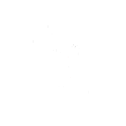 C=C[SiH](O[Si](C)(C)OC(CC)[Si](C)(C)C)O[Si](C)(C)OC(C)(CC)[Si](C)(C)C